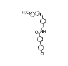 CN1CCC2(CCN(Cc3ccc(CCNC(=O)c4ccc(-c5ccc(Cl)cc5)cc4)cc3)C2)C1